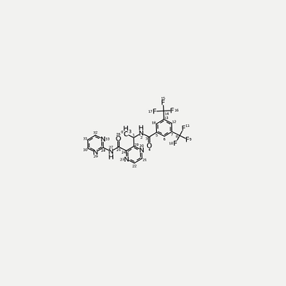 CC(NC(=O)c1cc(C(F)(F)F)cc(C(F)(F)F)c1)c1nccnc1C(=O)Nc1ncccn1